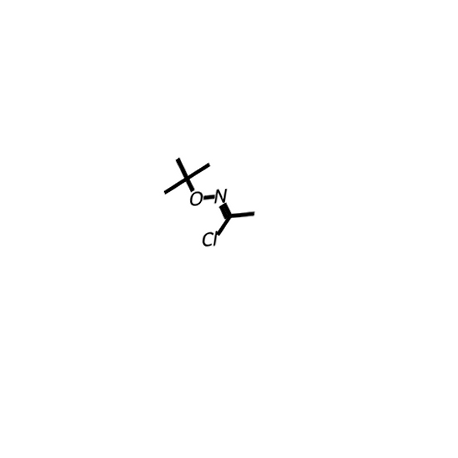 CC(Cl)=NOC(C)(C)C